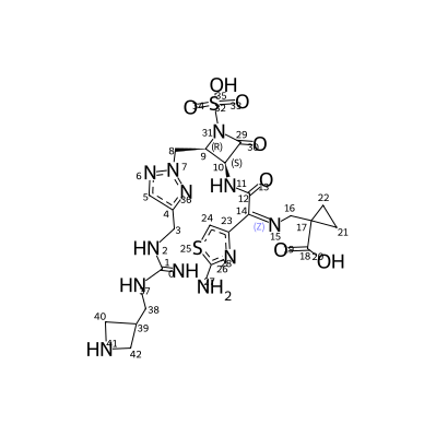 N=C(NCc1cnn(C[C@@H]2[C@H](NC(=O)/C(=N\CC3(C(=O)O)CC3)c3csc(N)n3)C(=O)N2S(=O)(=O)O)n1)NCC1CNC1